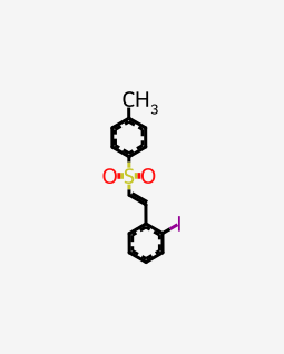 Cc1ccc(S(=O)(=O)C=Cc2ccccc2I)cc1